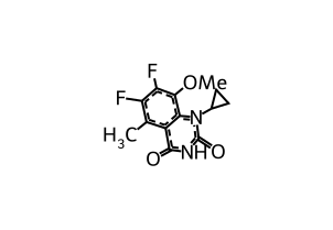 COc1c(F)c(F)c(C)c2c(=O)[nH]c(=O)n(C3CC3)c12